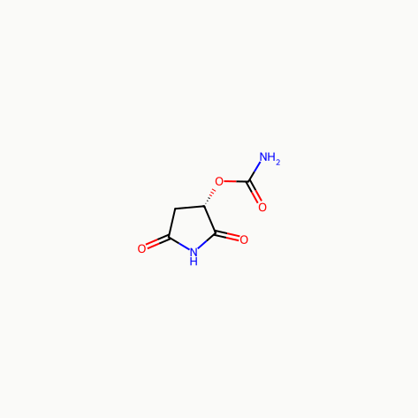 NC(=O)O[C@H]1CC(=O)NC1=O